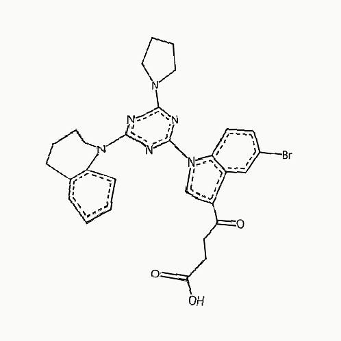 O=C(O)CCC(=O)c1cn(-c2nc(N3CCCC3)nc(N3CCCc4ccccc43)n2)c2ccc(Br)cc12